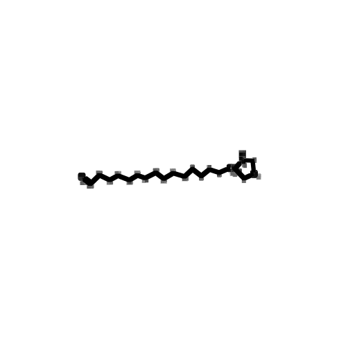 C1COCN1.CCCCCCCCCCCCCCCC=O